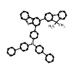 CC1(C)c2ccccc2-c2ccc(-c3cc(-c4ccc(N(c5ccc(-c6ccccc6)cc5)c5ccc(-c6ccccc6)cc5)cc4)c4sc5ccccc5c4c3)cc21